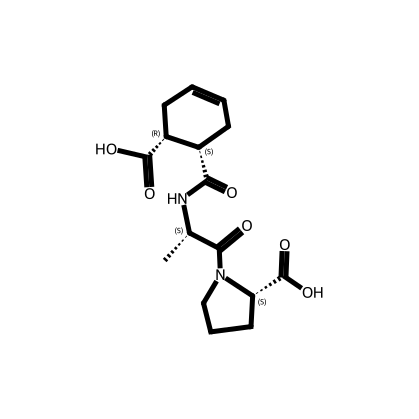 C[C@H](NC(=O)[C@H]1CC=CC[C@H]1C(=O)O)C(=O)N1CCC[C@H]1C(=O)O